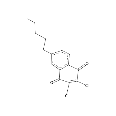 CCCCCc1ccc2c(c1)C(=O)C(Cl)=C(Cl)C2=O